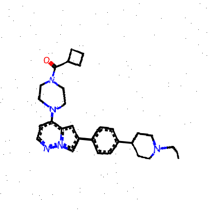 CCN1CCC(c2ccc(-c3cc4c(N5CCN(C(=O)C6CCC6)CC5)ccnn4c3)cc2)CC1